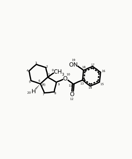 CC12CCCC[C@@H]1CCC2OC(=O)c1ccccc1N=O